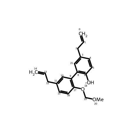 C=CCc1ccc(O)c(-c2cc(CC=C)ccc2OCOC)c1